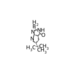 Bc1nc2ncc(C(C)(C)C)cc2c(=O)[nH]1